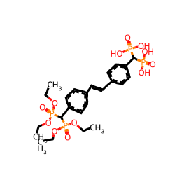 CCOP(=O)(OCC)C(c1ccc(C=Cc2ccc(C(P(=O)(O)O)P(=O)(O)O)cc2)cc1)P(=O)(OCC)OCC